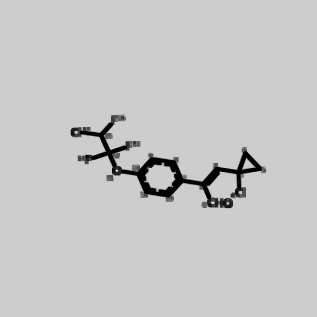 O=C/C(=C\C1(Cl)CC1)c1ccc(OC(F)(F)C(F)Cl)cc1